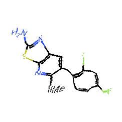 CNc1nc2sc(N)nc2cc1-c1ccc(F)cc1F